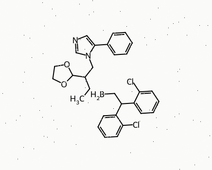 BCC(c1ccccc1Cl)c1ccccc1Cl.CCC(Cn1cncc1-c1ccccc1)C1OCCO1